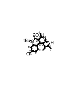 Cc1nc2[nH]c(C)c(C)c2c(-c2ccc(Cl)cc2)c1[C@H](OC(C)(C)C)C(=O)O